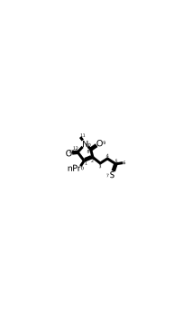 CCCC1=C(CCC(C)=S)C(=O)N(C)C1=O